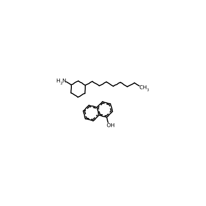 CCCCCCCCC1CCCC(N)C1.Oc1cccc2ccccc12